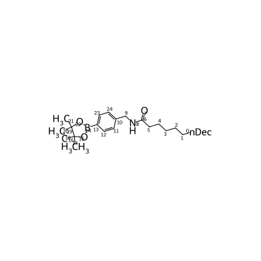 CCCCCCCCCCCCCCCC(=O)NCc1ccc(B2OC(C)(C)C(C)(C)O2)cc1